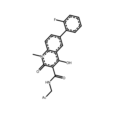 CC(=O)CNC(=O)c1c(O)c2cc(-c3ccccc3F)ccc2n(C)c1=O